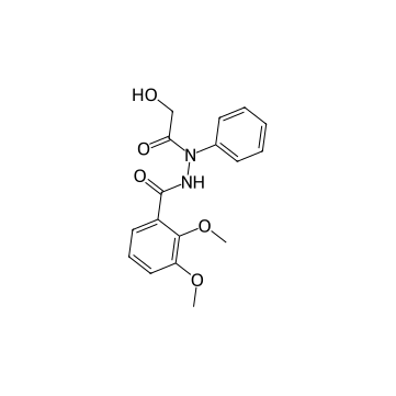 COc1cccc(C(=O)NN(C(=O)CO)c2ccccc2)c1OC